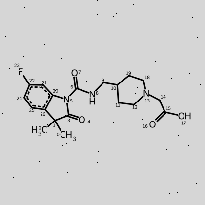 CC1(C)C(=O)N(C(=O)NCC2CCN(CC(=O)O)CC2)c2cc(F)ccc21